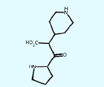 O=C(O)C(C(=O)C1CCCN1)C1CCNCC1